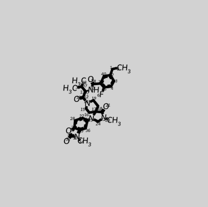 CCc1ccc(F)c(C(=O)N[C@@H](C(=O)N2CCC3(CC2)C(=O)N(C)CN3c2ccc3oc(=O)n(C)c3c2)C(C)C)c1